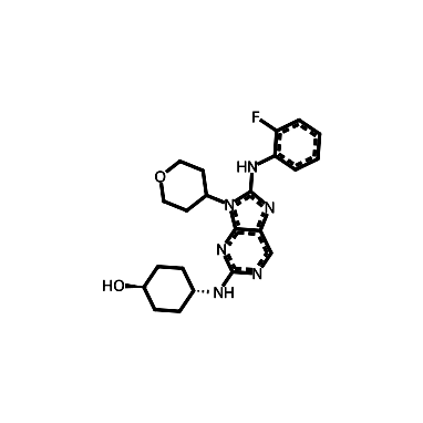 O[C@H]1CC[C@H](Nc2ncc3nc(Nc4ccccc4F)n(C4CCOCC4)c3n2)CC1